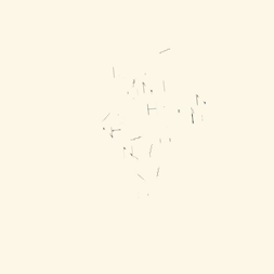 COc1ccc2c(O[C@@H]3C[C@H]4CN[C@]5(C(=O)O)CC5/C=C\CCCCCNC(=O)[C@@H]4C3)cc(-c3nc(C(C)C)cs3)nc2c1C